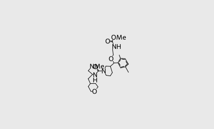 CNCC(CC1CCOCC1)NC(=O)N1CCCC(C(OCCNC(=O)OC)c2cc(C)ccc2C)C1